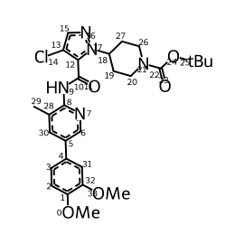 COc1ccc(-c2cnc(NC(=O)c3c(Cl)cnn3C3CCN(C(=O)OC(C)(C)C)CC3)c(C)c2)cc1OC